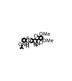 C=C(C)C(=O)Nc1cccc(F)c1Nc1cc2c(cn1)cc(-c1c(Cl)c(OC)cc(OC)c1Cl)c1ncnn12